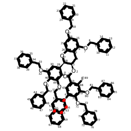 O=C(O[C@@H]1Cc2c(OCc3ccccc3)cc(OCc3ccccc3)cc2O[C@@H]1c1cc(OCc2ccccc2)c(OCc2ccccc2)c(OCc2ccccc2)c1)c1cc(OCc2ccccc2)c(OCc2ccccc2)c(OCc2ccccc2)c1F